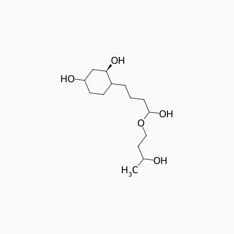 CC(O)CCOC(O)CCCC1CCC(O)C[C@H]1O